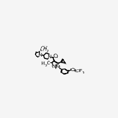 Cc1nn(-c2cccc(OC(F)(F)F)c2)c(C2CC2)c1C(=O)N1CCC(N2CCCC2C)CC1